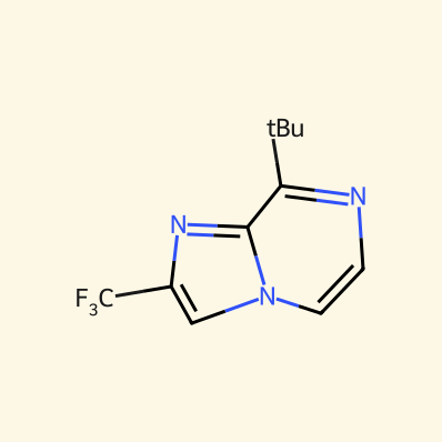 CC(C)(C)c1nccn2cc(C(F)(F)F)nc12